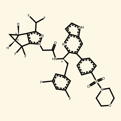 O=C(Cn1nc(C(F)F)c2c1C(F)(F)[C@@H]1C[C@H]21)N[C@H](Cc1cc(F)cc(F)c1)c1nc2cc[nH]c2cc1-c1ccc(S(=O)(=O)N2CCOCC2)cc1